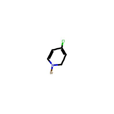 ClC1=CCN(Br)C=C1